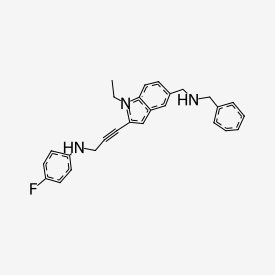 CCn1c(C#CCNc2ccc(F)cc2)cc2cc(CNCc3ccccc3)ccc21